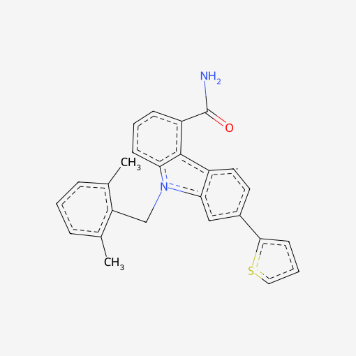 Cc1cccc(C)c1Cn1c2cc(-c3cccs3)c[c]c2c2c(C(N)=O)cccc21